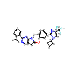 CC(C)c1ccccc1-c1ncc2c(n1)N(Cc1ccc(-c3nc(C(F)(F)F)cn3C3CCC3)cc1)C(=O)C2